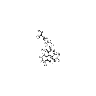 C=CC(=O)N1CC2(CCN(c3nc4c(c(-c5cccc(C)c5Cl)c3C#N)COC(C)(C)C4)C2)C1